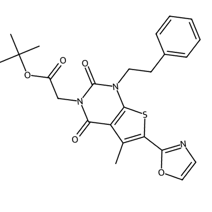 Cc1c(-c2ncco2)sc2c1c(=O)n(CC(=O)OC(C)(C)C)c(=O)n2CCc1ccccc1